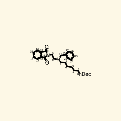 CCCCCCCCCCCCCCCCN(CCN1C(=O)c2ccccc2C1=O)Cc1ccccc1